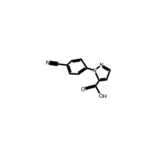 N#Cc1ccc(-n2nccc2C(=O)O)cc1